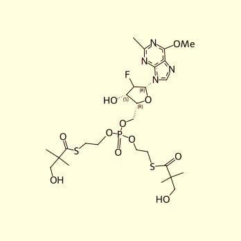 COc1nc(C)nc2c1ncn2[C@@H]1O[C@H](COP(=O)(OCCSC(=O)C(C)(C)CO)OCCSC(=O)C(C)(C)CO)[C@H](O)C1F